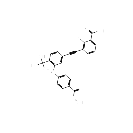 COC(=O)c1ccc(Oc2cc(C#Cc3cccc(C(=O)O)c3F)ccc2C(C)(C)C)cc1